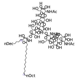 CCCCCCCC/C=C\CCCCCCCCCCCCCC(=O)N[C@@H](CO[C@@H]1OC(CO)[C@@H](O[C@@H]2OC(CO[C@@H]3OC(CO)[C@@H](O[C@@H]4OC(CO)[C@H](O[C@@H]5OC(CO)[C@H](O)[C@H](O)C5NC(C)=O)[C@H](O)C4O)[C@H](O)C3NC(C)=O)[C@H](O)[C@H](O[C@H]3OC(CO)[C@H](O)[C@H](O[C@@H]4OC(CO)[C@H](O)[C@H](O)C4NC(C)=O)C3O)C2O)[C@H](O)C1O)[C@H](O)/C=C/CCCCCCCCCCCCC